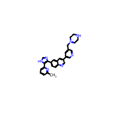 Cc1cccc(-c2[nH]cnc2-c2ccc3ncc(-c4cncc(CN5CCNCC5)c4)cc3c2)n1